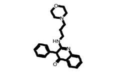 O=C1c2ccccc2N=C(NCCCN2CCOCC2)C1c1ccccc1